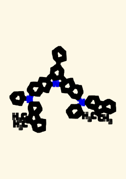 CC1(C)c2ccccc2-c2ccc(N(c3ccccc3)c3ccc4cc5c6cc(-c7ccccc7)cc7c8cc9ccc(N(c%10ccccc%10)c%10ccc%11c(c%10)C(C)(C)c%10ccccc%10-%11)cc9cc8n(c5cc4c3)c67)cc21